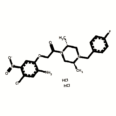 C[C@@H]1CN(Cc2ccc(F)cc2)[C@@H](C)CN1C(=O)COc1cc([N+](=O)[O-])c(Cl)cc1N.Cl.Cl